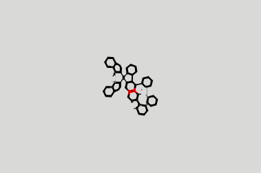 c1ccc(N(c2ccccc2-c2cccc3c2-c2ccccc2C32c3ccc4ccccc4c3Oc3c2ccc2ccccc32)c2cccc3sc4ccccc4c23)cc1